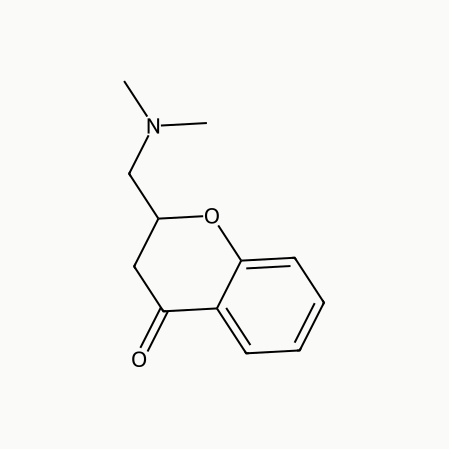 CN(C)CC1CC(=O)c2ccccc2O1